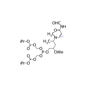 COC(COP(OCOC(=O)OC(C)C)OCOC(=O)OC(C)C)CC(C)N(C)/C=C\C(=O)NC=O